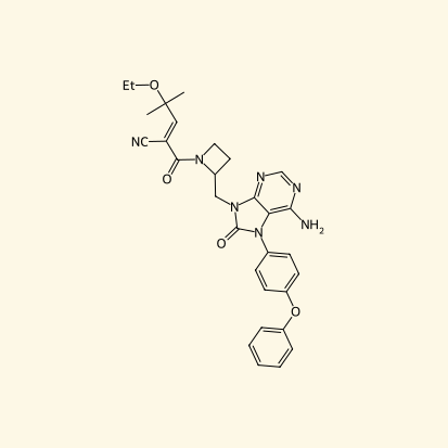 CCOC(C)(C)C=C(C#N)C(=O)N1CCC1Cn1c(=O)n(-c2ccc(Oc3ccccc3)cc2)c2c(N)ncnc21